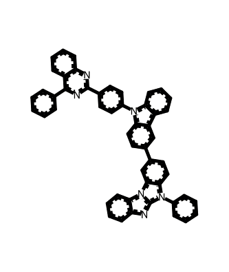 c1ccc(-c2nc(-c3ccc(-n4c5ccccc5c5cc(-c6ccc7c(c6)n6c8ccccc8nc6n7-c6ccccc6)ccc54)cc3)nc3ccccc23)cc1